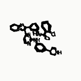 O=C(Nc1cccc(-c2nc3ccccn3c2-c2ccnc(Nc3cccc(C4CCNCC4)c3)n2)c1)c1ccccc1Cl